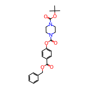 CC(C)(C)OC(=O)N1CCN(C(=O)Oc2ccc(C(=O)OCc3ccccc3)cc2)CC1